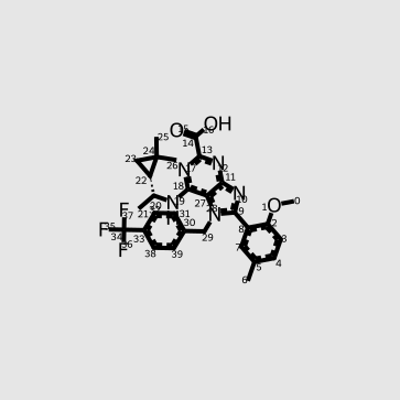 COc1ccc(C)cc1-c1nc2nc(C(=O)O)nc(NC(C)[C@@H]3CC3(C)C)c2n1Cc1ccc(C(F)(F)F)cc1